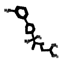 Cc1cccc(-c2ccc(C(C)(C)C(=O)NCC(C)C)cc2)c1